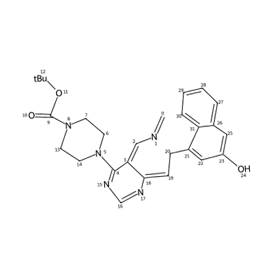 C=N/C=c1/c(N2CCN(C(=O)OC(C)(C)C)CC2)ncn/c1=C/Cc1cc(O)cc2ccccc12